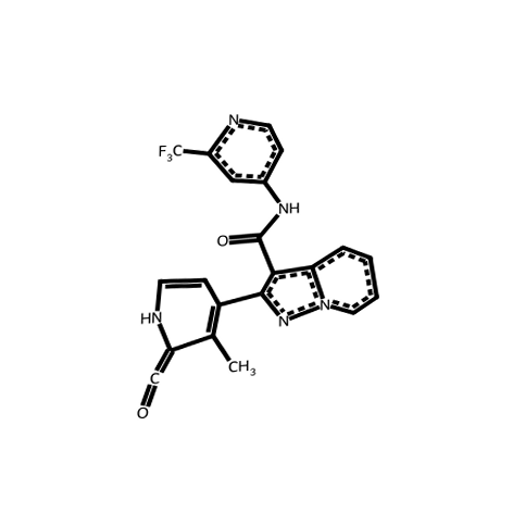 CC1=C(c2nn3ccccc3c2C(=O)Nc2ccnc(C(F)(F)F)c2)C=CNC1=C=O